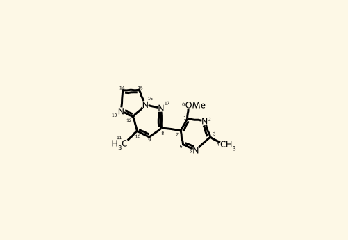 COc1nc(C)ncc1-c1cc(C)c2nccn2n1